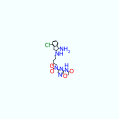 NC1c2cccc(Cl)c2CC1NCCCC1CN(c2cnc3c(n2)NC(=O)CO3)C(=O)O1